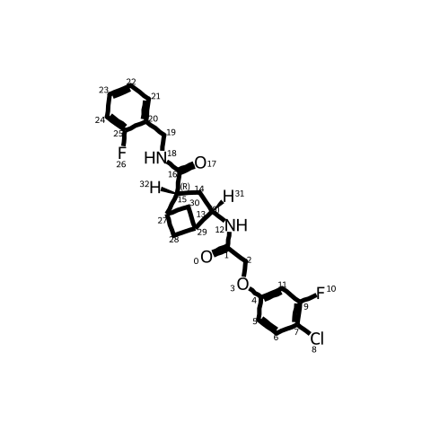 O=C(COc1ccc(Cl)c(F)c1)N[C@H]1C[C@@H](C(=O)NCc2ccccc2F)C2CC1C2